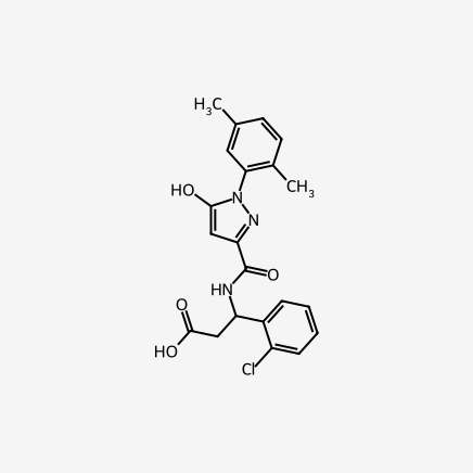 Cc1ccc(C)c(-n2nc(C(=O)NC(CC(=O)O)c3ccccc3Cl)cc2O)c1